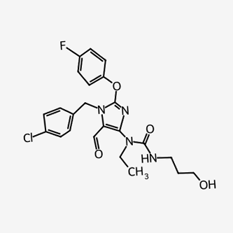 CCN(C(=O)NCCCO)c1nc(Oc2ccc(F)cc2)n(Cc2ccc(Cl)cc2)c1C=O